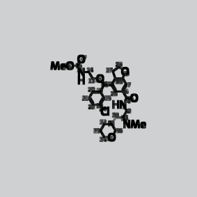 CN[C@H](CNC(=O)c1cc2c(c([C@H](OCCNC(=O)OC)c3cccc(Cl)c3)c1)CCO2)C[C@H]1CCCOC1